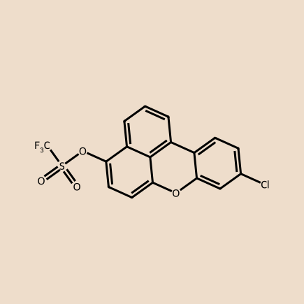 O=S(=O)(Oc1ccc2c3c(cccc13)-c1ccc(Cl)cc1O2)C(F)(F)F